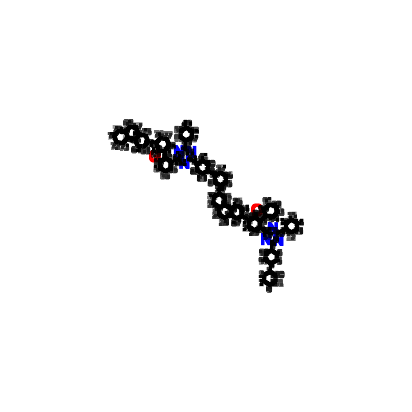 c1ccc(-c2ccc(-c3nc(-c4ccccc4)nc(-c4ccc(-c5ccc6c(ccc7ccc(-c8cccc(-c9ccc(-c%10nc(-c%11ccccc%11)nc(-c%11cccc%12oc%13c(-c%14ccc%15c(ccc%16ccccc%16%15)c%14)cccc%13c%11%12)n%10)cc9)c8)cc76)c5)c5oc6ccccc6c45)n3)cc2)cc1